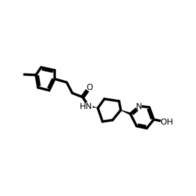 Cc1ccc(CCC(=O)N[C@H]2CC[C@H](c3ccc(O)cn3)CC2)cc1